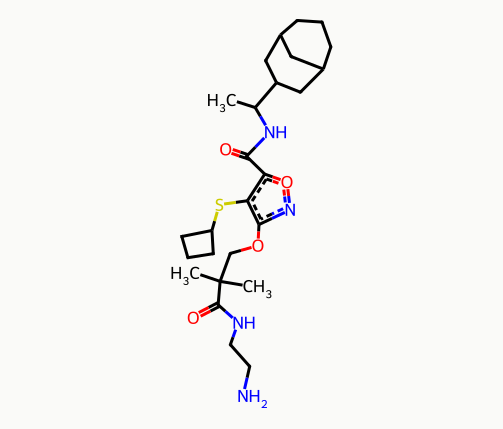 CC(NC(=O)c1onc(OCC(C)(C)C(=O)NCCN)c1SC1CCC1)C1CC2CCCC(C2)C1